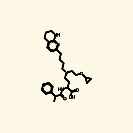 CC(C(=O)NC(CCN(CCCCc1ccc2c(n1)NCCC2)CCOC1CC1)C(=O)O)c1ccccc1